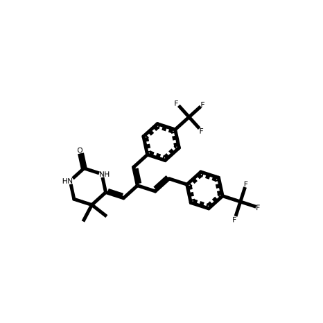 CC1(C)CNC(=O)NC1=CC(C=Cc1ccc(C(F)(F)F)cc1)=Cc1ccc(C(F)(F)F)cc1